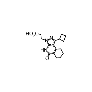 O=C(O)CCn1nc(C2CCC2)c2c3c(c(=O)[nH]c21)CCCC3